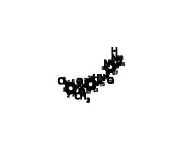 Cc1ccc(Cl)cc1S(=O)(=O)c1ccc(CNC(=O)c2cnc3[nH]ncc3c2)cc1